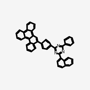 c1ccc(-c2nc(-c3ccc(-c4cc5c6ccccc6c6ccccc6c5c5ccccc45)cc3)nc(-c3cccc4ccccc34)n2)cc1